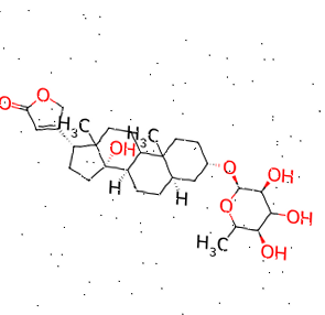 CC1O[C@@H](O[C@H]2CCC3(C)C4CCC5(C)[C@@H](C6=CC(=O)OC6)CC[C@]5(O)[C@@H]4CC[C@@H]3C2)[C@@H](O)C(O)[C@H]1O